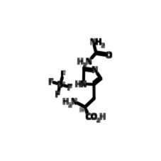 F[B-](F)(F)F.NC(N)=O.N[C@@H](Cc1cnc[nH]1)C(=O)O